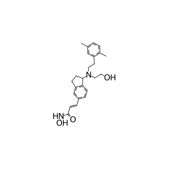 Cc1ccc(C)c(CCN(CCO)C2CCc3cc(C=CC(=O)NO)ccc32)c1